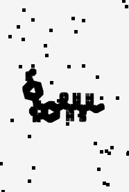 CCNC(=S)NNC(=O)c1ccc2ncn(-c3ccc(SC)cc3)c2c1